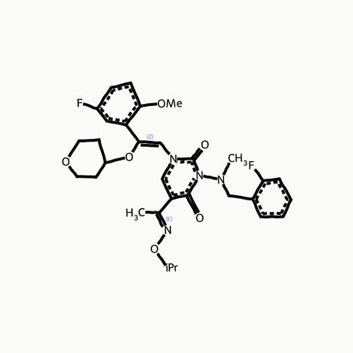 COc1ccc(F)cc1/C(=C/n1cc(/C(C)=N/OC(C)C)c(=O)n(N(C)Cc2ccccc2F)c1=O)OC1CCOCC1